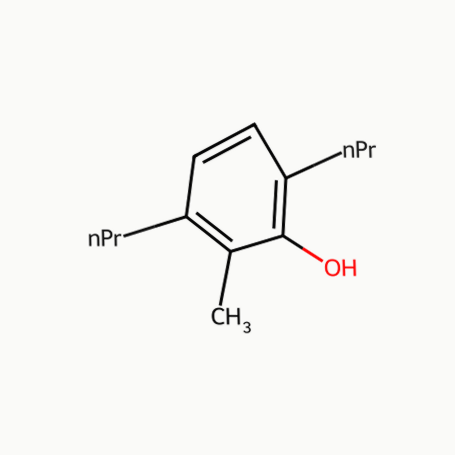 CCCc1ccc(CCC)c(O)c1C